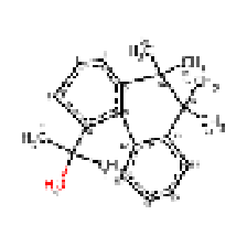 CC(C)(O)c1cccc2c1-c1ccccc1C(C)(C)C2(C)C